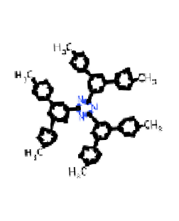 Cc1ccc(-c2cc(-c3ccc(C)cc3)cc(-c3nc(-c4cc(-c5ccc(C)cc5)cc(-c5ccc(C)cc5)c4)nc(-c4cc(-c5ccc(C)cc5)cc(-c5ccc(C)cc5)c4)n3)c2)cc1